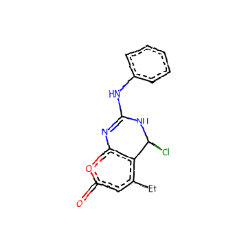 CCc1cc(=O)oc2c1C(Cl)NC(Nc1ccccc1)=N2